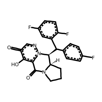 O=C1c2c(O)c(=O)cnn2[C@@H](C(c2ccc(F)cc2)c2cc(F)ccc2F)[C@H]2CCCN12